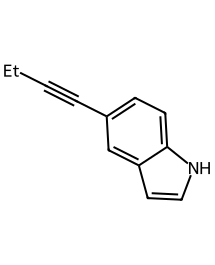 CCC#Cc1ccc2[nH]ccc2c1